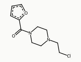 O=C(c1ccco1)N1CCN(CCCl)CC1